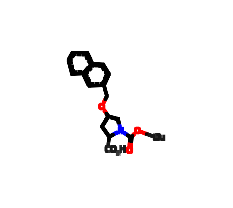 CC(C)(C)OC(=O)N1CC(OCc2ccc3ccccc3c2)CC1C(=O)O